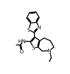 CCN1CCCc2c(sc(NC(C)=O)c2-c2nc3ccccc3s2)C1